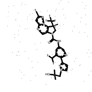 CC(C)(O)Cn1ccc(-c2ncc(NC(=O)N3C[C@@](C)(C(F)(F)F)c4c3cnc3cc(F)nn43)cc2C(F)F)n1